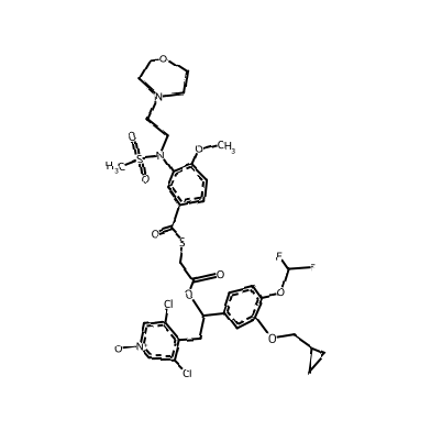 COc1ccc(C(=O)SCC(=O)OC(Cc2c(Cl)c[n+]([O-])cc2Cl)c2ccc(OC(F)F)c(OCC3CC3)c2)cc1N(CCN1CCOCC1)S(C)(=O)=O